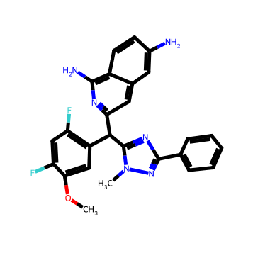 COc1cc(C(c2cc3cc(N)ccc3c(N)n2)c2nc(-c3ccccc3)nn2C)c(F)cc1F